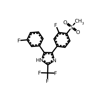 CS(=O)(=O)c1ccc(-c2nc(C(F)(F)F)[nH]c2-c2cccc(F)c2)cc1F